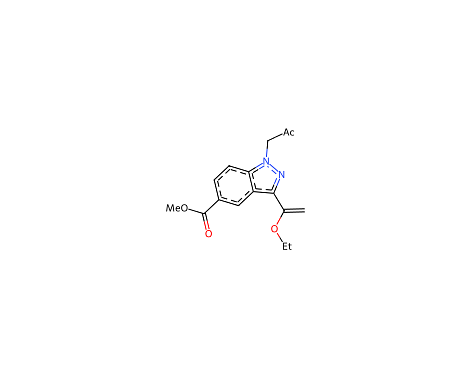 C=C(OCC)c1nn(CC(C)=O)c2ccc(C(=O)OC)cc12